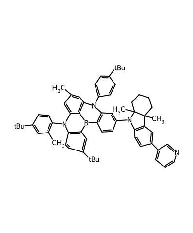 Cc1cc2c3c(c1)N(c1ccc(C(C)(C)C)cc1C)c1ccc(C(C)(C)C)cc1B3c1ccc(N3c4ccc(-c5cccnc5)cc4C4(C)CCCCC34C)cc1N2c1ccc(C(C)(C)C)cc1